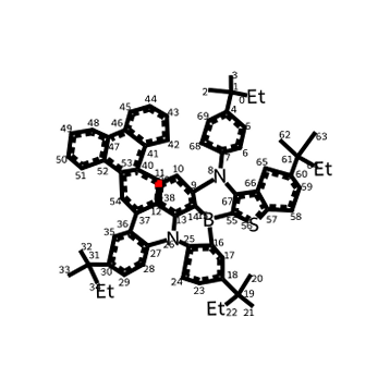 CCC(C)(C)c1ccc(N2c3cccc4c3B(c3cc(C(C)(C)CC)ccc3N4c3ccc(C(C)(C)CC)cc3-c3ccc4c5ccccc5c5ccccc5c4c3)c3sc4ccc(C(C)(C)CC)cc4c32)cc1